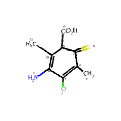 CCOC(=O)C1C(=S)C(C)=C(Cl)C(N)=C1C